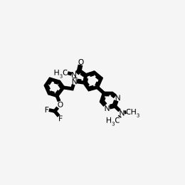 CN(C)c1ncc(-c2ccc3c(=O)n(C)n(Cc4ccccc4OC(F)F)c3c2)cn1